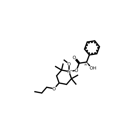 CCCOC1CC(C)(C)[N+](OC)(OC(=O)[C@H](O)c2ccccc2)C(C)(C)C1